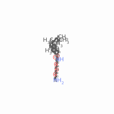 CC[C@H](CC[C@@H](C)[C@H]1CC[C@H]2[C@@H]3CC=C4C[C@@H](OC(=O)NCCOCCOCCOCCN)CC[C@]4(C)[C@H]3CC[C@]12C)C(C)C